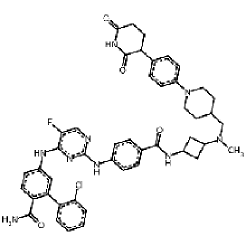 CN(CC1CCN(c2ccc(C3CCC(=O)NC3=O)cc2)CC1)C1CC(NC(=O)c2ccc(Nc3ncc(F)c(Nc4ccc(C(N)=O)c(-c5ccccc5Cl)c4)n3)cc2)C1